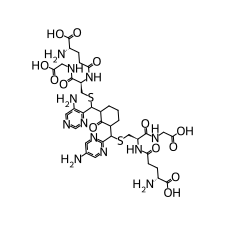 Nc1cnc(C(SC[C@H](NC(=O)CC[C@@H](N)C(=O)O)C(=O)NCC(=O)O)C2CCCC(C(SC[C@H](NC(=O)CC[C@H](N)C(=O)O)C(=O)NCC(=O)O)c3ncncc3N)C2=O)nc1